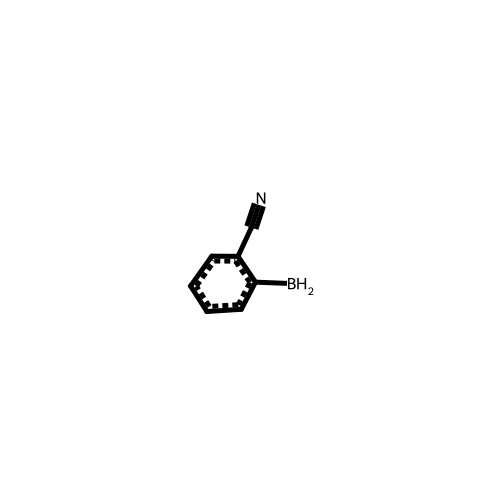 Bc1ccccc1C#N